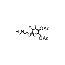 CC(=O)OCC1O[C@H](OCCN)C(F)C(C)[C@@H]1OC(C)=O